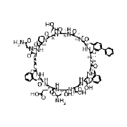 C[C@@H]1NC(=O)[C@H](C)N(C)C(=O)[C@H](Cc2ccc(-c3ccccc3)cc2)NC(=O)[C@H](C)N(C)C(=O)[C@H](Cc2ccccc2)NC(=O)[C@H]([C@@H](C)O)NC(=O)[C@H]([C@@H](C)O)NC(=O)[C@H](CC(N)=O)NC(=O)[C@H](CCC(=O)O)NC(=O)[C@H](Cc2ccccc2)NC(=O)CSC[C@@H](C(=O)NCC(N)=O)NC(=O)[C@@H]2CCCN2C(=O)[C@H](CCO)NC1=O